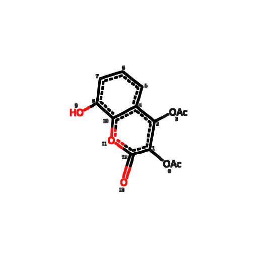 CC(=O)Oc1c(OC(C)=O)c2cccc(O)c2oc1=O